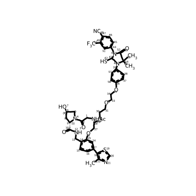 CC(=O)NCC(=O)N1C[C@H](O)C[C@H]1C(=O)NCc1ccc(-c2scnc2C)cc1OCCOCCOCCOc1ccc(N2C(S)N(c3ccc(C#N)c(C(F)(F)F)c3)C(=O)C2(C)C)cc1